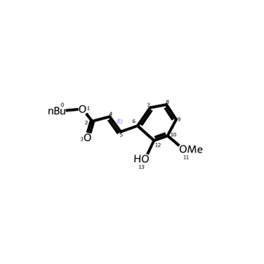 CCCCOC(=O)/C=C/c1cccc(OC)c1O